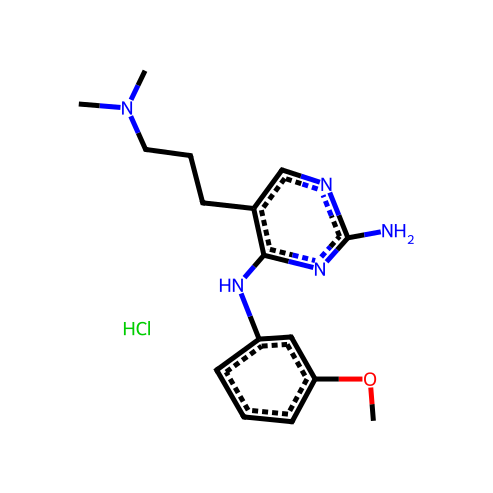 COc1cccc(Nc2nc(N)ncc2CCCN(C)C)c1.Cl